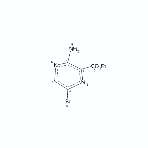 CCOC(=O)c1nc(Br)cnc1N